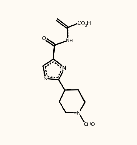 C=C(NC(=O)c1csc(C2CCN(C=O)CC2)n1)C(=O)O